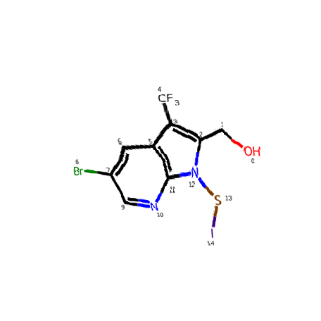 OCc1c(C(F)(F)F)c2cc(Br)cnc2n1SI